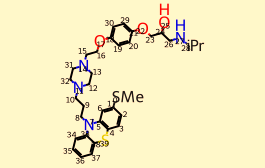 CSc1ccc2c(c1)N(CCCN1CCN(CCOc3ccc(OC[C@@H](O)CNC(C)C)cc3)CC1)c1ccccc1S2